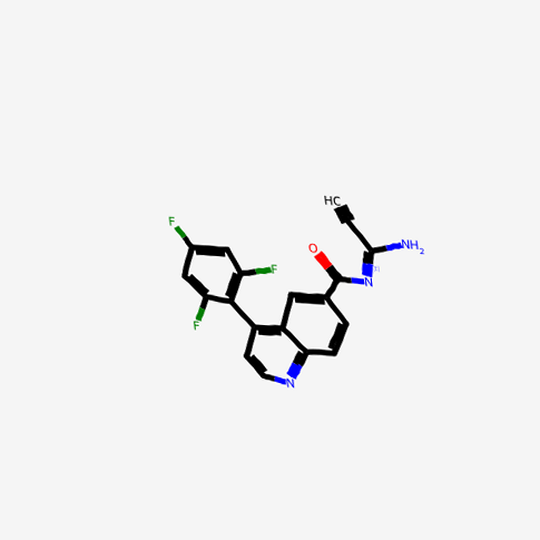 C#C/C(N)=N\C(=O)c1ccc2nccc(-c3c(F)cc(F)cc3F)c2c1